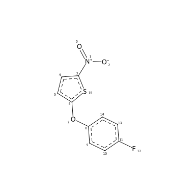 O=[N+]([O-])c1ccc(Oc2ccc(F)cc2)s1